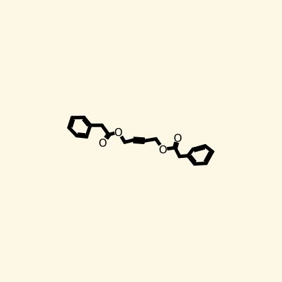 O=C(Cc1ccccc1)OCC#CCOC(=O)Cc1ccccc1